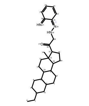 CCC1CCC2C(CCC3C2CCC2(C)C(C(=O)CN/N=C4/C=CC=CC4=N)CCC32)C1